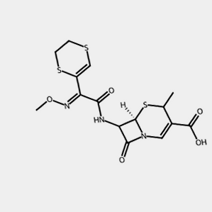 CON=C(C(=O)NC1C(=O)N2C=C(C(=O)O)C(C)S[C@H]12)C1=CSCCS1